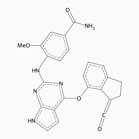 COc1cc(C(N)=O)ccc1Nc1nc(Oc2cccc3c2C(=C=O)CC3)c2cc[nH]c2n1